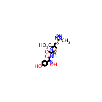 Cn1nnnc1SCC1=C(C(=O)O)N2C(=O)C(NC(=O)C(=NO)c3ccc(O)cc3)[C@@H]2SC1